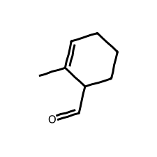 CC1=CCCCC1C=O